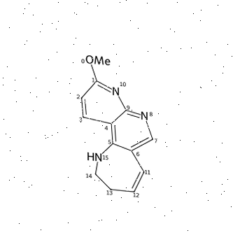 COc1ccc2c3c(cnc2n1)C=CCCN3